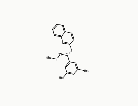 CC(C)(C)SN[C@H](Cc1ccc2ccccc2n1)c1cc(C(C)(C)C)cc(C(C)(C)C)c1